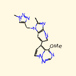 COc1ncnn2ccc(-c3cnc4nc(C)n(Cc5cn(C)nn5)c4c3)c12